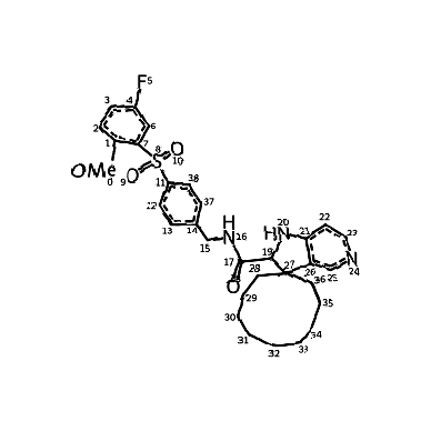 COc1ccc(F)cc1S(=O)(=O)c1ccc(CNC(=O)C2Nc3ccncc3C23CCCCCCCCC3)cc1